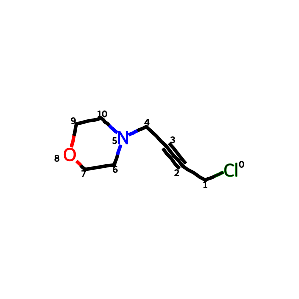 ClCC#CCN1CCOCC1